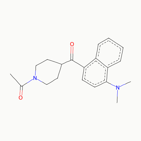 CC(=O)N1CCC(C(=O)c2ccc(N(C)C)c3ccccc23)CC1